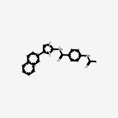 CC(=O)Nc1ccc(C(=O)Nc2nc(-c3ccc4ccccc4c3)cs2)cc1